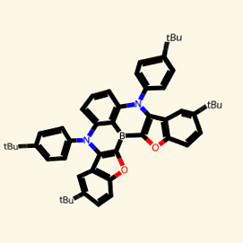 CC(C)(C)c1ccc(N2c3cccc4c3B(c3oc5ccc(C(C)(C)C)cc5c32)c2oc3ccc(C(C)(C)C)cc3c2N4c2ccc(C(C)(C)C)cc2)cc1